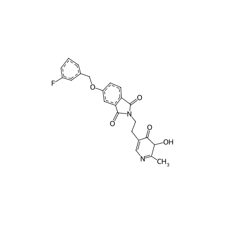 CC1=NC=C(CCN2C(=O)c3ccc(OCc4cccc(F)c4)cc3C2=O)C(=O)C1O